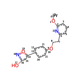 CC(C)Oc1cccc(CCOc2ccc(-c3cc(O)no3)cc2)n1